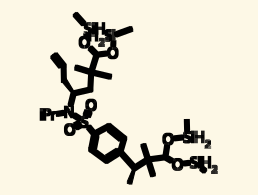 C=CC[C@@H](CC(C)(C)C(O[SiH2]C)O[SiH2]C)N(C(C)C)S(=O)(=O)c1ccc([C@H](C)C(C)(C)C(O[SiH2]C)O[SiH2]C)cc1